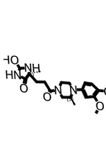 COc1cc(N2CCN(C(=O)CC[C@]3(C)NC(O)NC3=O)C[C@@H]2C)ccc1Cl